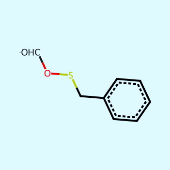 O=[C]OSCc1ccccc1